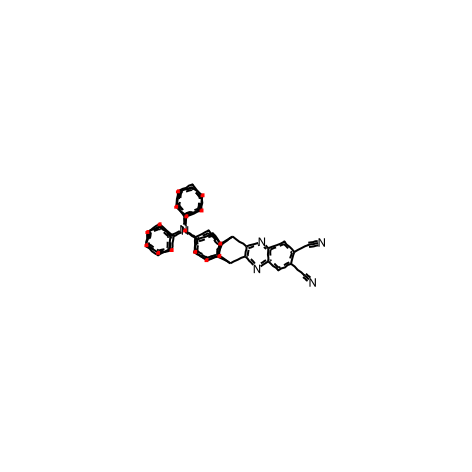 N#Cc1cc2nc3c(nc2cc1C#N)C1c2cc(N(c4ccccc4)c4ccccc4)ccc2C3c2ccc(N(c3ccccc3)c3ccccc3)cc21